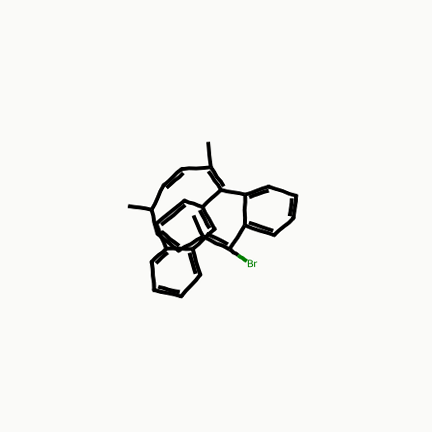 CC1=C(/Br)c2ccccc2/C(c2ccc3ccccc3c2)=C(C)/C=C\C(C)/C=C\1